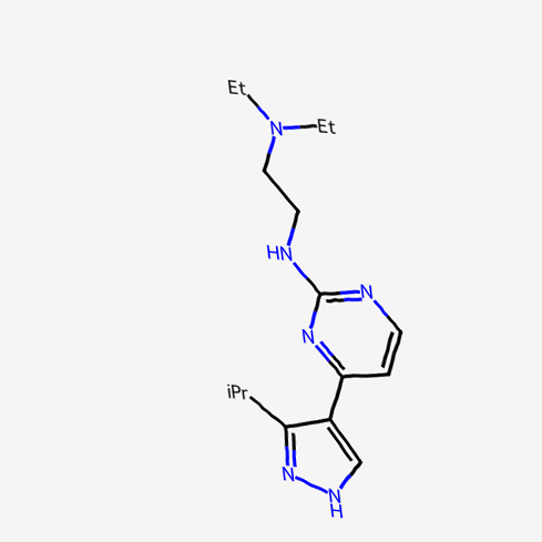 CCN(CC)CCNc1nccc(-c2c[nH]nc2C(C)C)n1